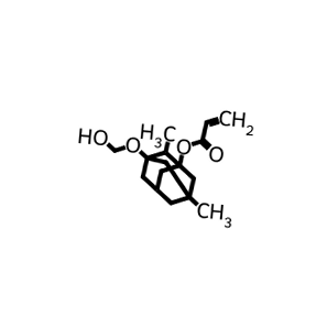 C=CC(=O)OC12CC3CC(C)(CC(OCO)(C3)C1C)C2